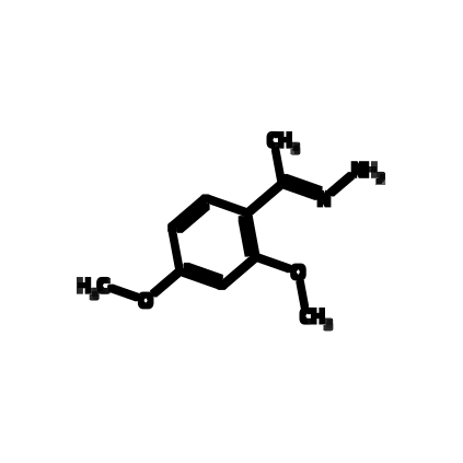 COc1ccc(/C(C)=N/N)c(OC)c1